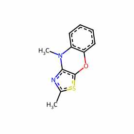 Cc1nc2c(s1)Oc1ccccc1N2C